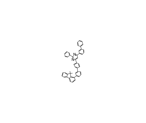 CC1(C)c2ccccc2-c2cccc(-c3cccc(-c4ccc(-c5cc(-c6cccc(-c7ccccc7)c6)nc(-c6ccccc6)n5)cc4)c3)c21